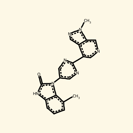 Cc1cccc2[nH]c(=O)n(-c3cnc(-c4cncc5c4cnn5C)nc3)c12